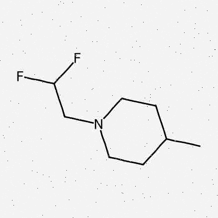 CC1CCN(CC(F)F)CC1